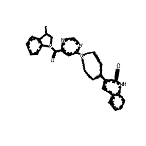 CC1CN(C(=O)c2cc(N3CCC(c4cc5ccccc5[nH]c4=O)CC3)ncn2)c2ccccc21